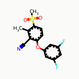 Cc1c(S(C)(=O)=O)ccc(Oc2cc(F)cc(F)c2)c1C#N